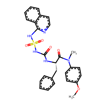 COc1ccc(N(C)C(=O)[C@H](Cc2ccccc2)NC(=O)NS(=O)(=O)Nc2nccc3ccccc23)cc1